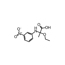 CCOC(C)(Nc1cccc([N+](=O)[O-])c1)C(=O)O